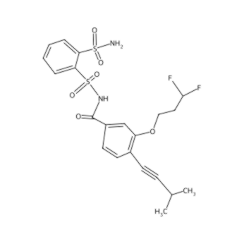 CC(C)C#Cc1ccc(C(=O)NS(=O)(=O)c2ccccc2S(N)(=O)=O)cc1OCCC(F)F